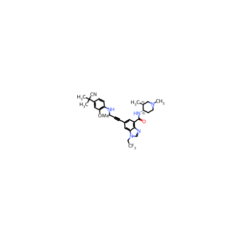 COc1cc(C(C)(C)C#N)ccc1NCC#Cc1cc(C(=O)N[C@H]2CCN(C)C[C@@H]2C)c2ncn(CC(F)(F)F)c2c1